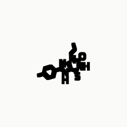 CCCn1c(=O)[nH]c(=S)c2[nH]c(-c3ccc(C)cc3)nc21